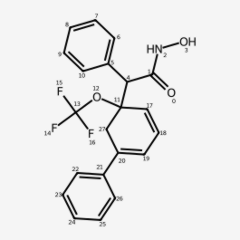 O=C(NO)C(c1ccccc1)C1(OC(F)(F)F)C=CC=C(c2ccccc2)C1